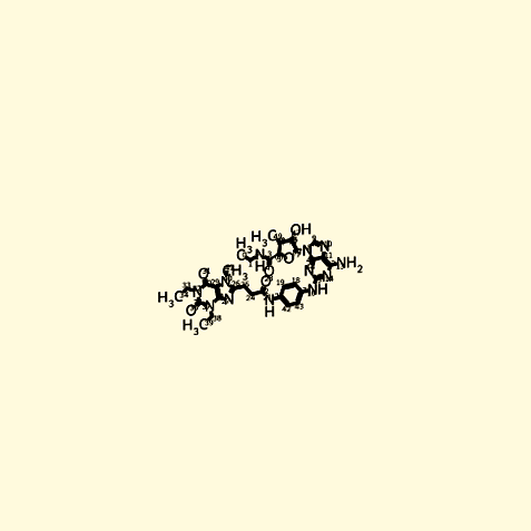 CCNC(=O)[C@@H]1O[C@@H](n2cnc3c(N)nc(Nc4ccc(NC(=O)CCc5nc6c(c(=O)n(CC)c(=O)n6CC)n5C)cc4)nc32)[C@H](O)[C@@H]1C